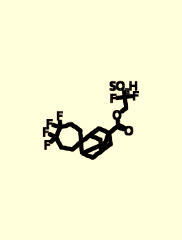 O=C(OCC(F)(F)S(=O)(=O)O)C12CC3CC(C1)C1(CCC(F)(F)C(F)(F)CC1)C(C3)C2